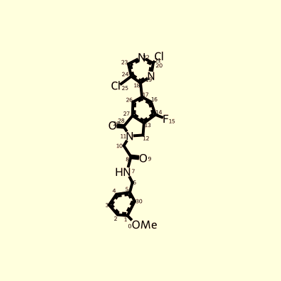 COc1cccc(CNC(=O)CN2Cc3c(F)cc(-c4nc(Cl)ncc4Cl)cc3C2=O)c1